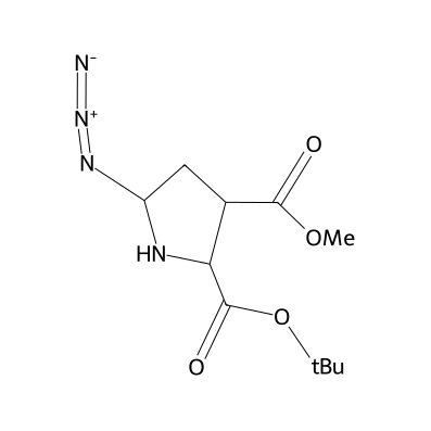 COC(=O)C1CC(N=[N+]=[N-])NC1C(=O)OC(C)(C)C